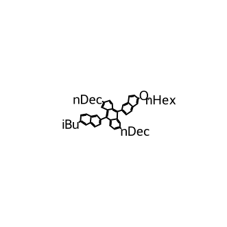 CCCCCCCCCCc1ccc2c(-c3ccc4cc(C(C)CC)ccc4c3)c3cc(CCCCCCCCCC)ccc3c(-c3ccc4cc(OCCCCCC)ccc4c3)c2c1